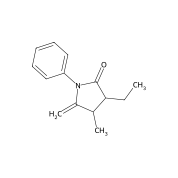 C=C1C(C)C(CC)C(=O)N1c1ccccc1